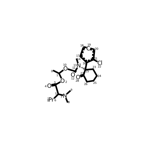 CC(OC(=O)C(C(C)C)N(C)C)OC(=O)N(C)[C@]1(c2ccccc2Cl)CCCCC1=O